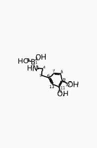 OB(O)NCCc1ccc(O)c(O)c1